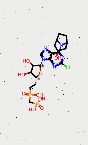 O=P(O)(O)CP(=O)(O)CC[C@H]1O[C@@H](n2cnc3c(N4C5CCC4CC(O)C5)nc(Cl)nc32)C(O)C1O